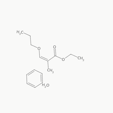 CCCOC=C(C)C(=O)OCC.O.c1ccccc1